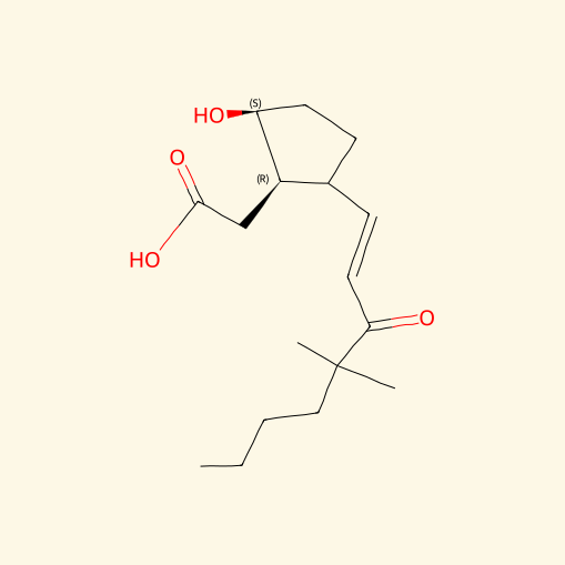 CCCCC(C)(C)C(=O)C=CC1CC[C@H](O)[C@@H]1CC(=O)O